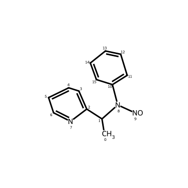 CC(c1ccccn1)N(N=O)c1ccccc1